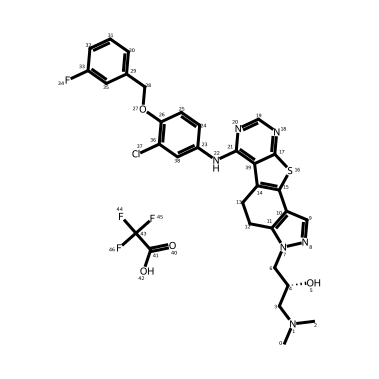 CN(C)C[C@@H](O)Cn1ncc2c1CCc1c-2sc2ncnc(Nc3ccc(OCc4cccc(F)c4)c(Cl)c3)c12.O=C(O)C(F)(F)F